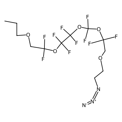 CCCOCC(F)(F)OC(F)(F)C(F)(F)OC(F)(F)OC(F)(F)COCCN=[N+]=[N-]